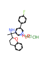 CC(N)(c1cncc(-c2ccc(F)cc2)c1)C1CCc2ccccc2O1.Cl.Cl.O